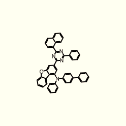 c1ccc(-c2ccc(N(c3ccccc3)c3cc(-c4nc(-c5ccccc5)nc(-c5cccc6ccccc56)n4)cc4oc5ccccc5c34)cc2)cc1